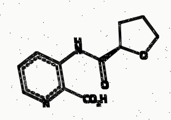 O=C(O)c1ncccc1NC(=O)[C@H]1CCCO1